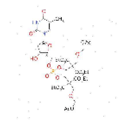 CCOC(=O)C(COCOC(C)=O)(COP(=O)(OC[C@H]1O[C@@H](n2cc(C)c(=O)[nH]c2=O)CC1O)OCC(COCOC(C)=O)(C(=O)OCC)C(=O)OCC)C(=O)OCC